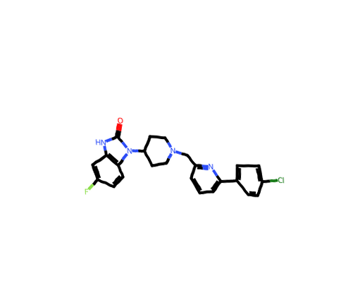 O=c1[nH]c2cc(F)ccc2n1C1CCN(Cc2cccc(-c3ccc(Cl)cc3)n2)CC1